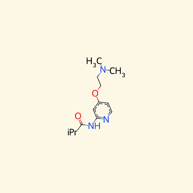 CC(C)C(=O)Nc1cc(OCCN(C)C)ccn1